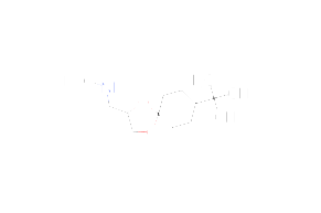 CNCC1COC2(CCC(C(C)(C)C)CC2)O1